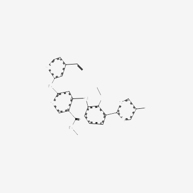 CNC(=O)c1cnc(Nc2cc(C=O)ccn2)cc1Nc1cccc(-c2ncc(F)cn2)c1OC